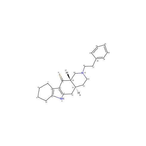 S=C1c2c([nH]c3c2CCCC3)C[C@@H]2CCN(CCc3ccccc3)C[C@@H]12